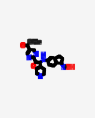 COC(=O)c1cnc(-c2oc3cnccc3c2Nc2ccc3c(c2)CCC3=NO)nc1